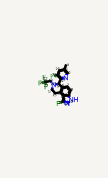 Cc1cnc(C2c3ccc4[nH]nc(F)c4c3CCN2CC(F)(F)F)c(F)c1